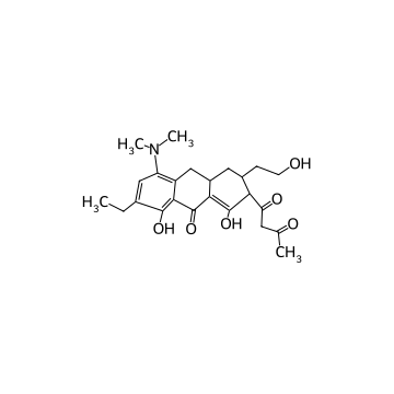 CCc1cc(N(C)C)c2c(c1O)C(=O)C1=C(O)C(C(=O)CC(C)=O)C(CCO)CC1C2